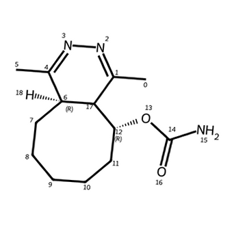 CC1=NN=C(C)[C@@H]2CCCCC[C@@H](OC(N)=O)C12